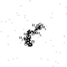 COn1c(=O)c(-c2c(Cl)cccc2Cl)cc2cnc(Nc3ccn(CC(=O)N(C)CCOC(=O)C(C)(C)C)c3)nc21